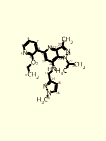 CCOc1ncccc1-c1cc(NCc2ccn(C)n2)c2c(n1)c(C)nn2C(C)C